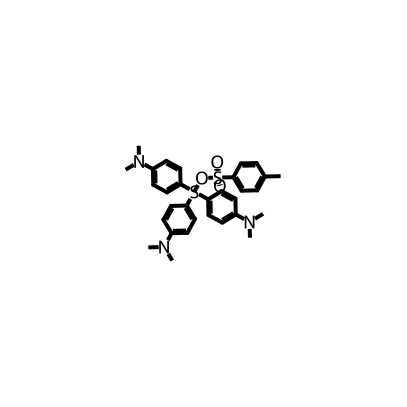 Cc1ccc(S(=O)(=O)OS(c2ccc(N(C)C)cc2)(c2ccc(N(C)C)cc2)c2ccc(N(C)C)cc2)cc1